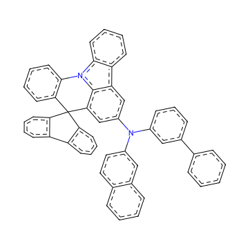 c1ccc(-c2cccc(N(c3ccc4ccccc4c3)c3cc4c5c(c3)c3ccccc3n5-c3ccccc3C43c4ccccc4-c4ccccc43)c2)cc1